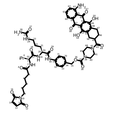 CC(C)[C@H](NC(=O)CCCCCN1C(=O)C=CC1=O)C(=O)N[C@@H](CCCNC(N)=O)C(=O)Nc1ccc(COC(=O)N2CCN(C(=O)C3CCc4c(O)c5c(c(O)c4C3)C(=O)c3cccc(N)c3C5=O)CC2)cc1